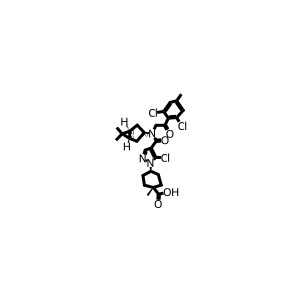 Cc1cc(Cl)c(C(=O)CN(C(=O)c2cnn([C@H]3CC[C@](C)(C(=O)O)CC3)c2Cl)[C@H]2C[C@@H]3[C@H](C2)C3(C)C)c(Cl)c1